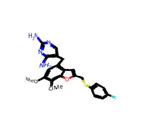 COc1cc(Cc2cnc(N)nc2N)c2cc(CSc3ccc(F)cc3)oc2c1OC